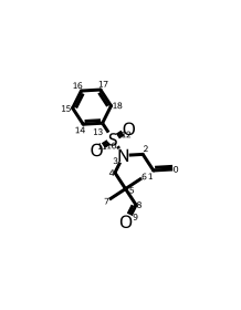 C=CCN(CC(C)(C)C=O)S(=O)(=O)c1ccccc1